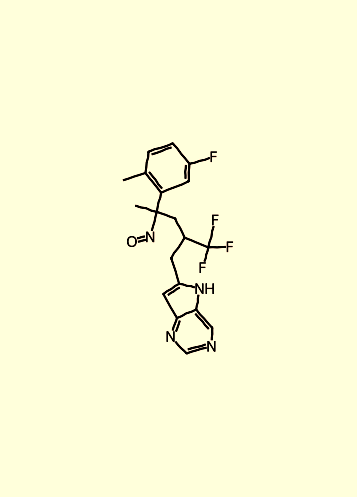 Cc1ccc(F)cc1C(C)(CC(Cc1cc2ncncc2[nH]1)C(F)(F)F)N=O